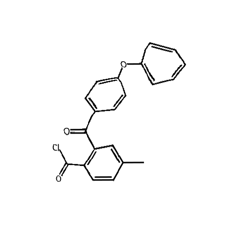 Cc1ccc(C(=O)Cl)c(C(=O)c2ccc(Oc3ccccc3)cc2)c1